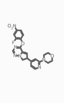 O=[N+]([O-])c1ccc(OC2=NC=NN3CC(c4ccnc(N5CCOCC5)c4)C=C23)c(F)c1